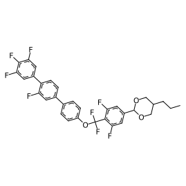 CCCC1COC(c2cc(F)c(C(F)(F)Oc3ccc(-c4ccc(-c5cc(F)c(F)c(F)c5)c(F)c4)cc3)c(F)c2)OC1